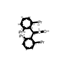 CC(C)c1cccc(C(C)C)c1C(=C=O)c1c(C(C)C)cccc1C(C)C